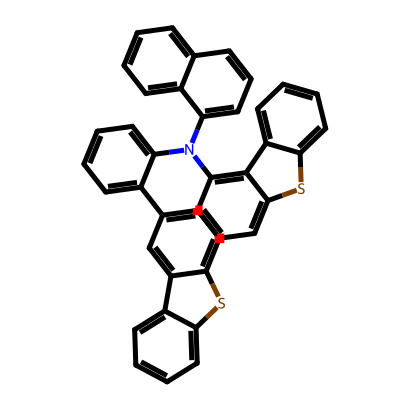 c1ccc(N(c2cccc3ccccc23)c2cccc3sc4ccccc4c23)c(-c2ccc3sc4ccccc4c3c2)c1